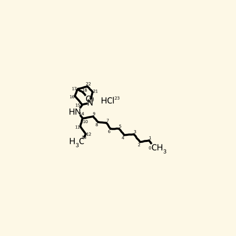 CCCCCCCCCCC(CCC)NC1CC2CCN1CC2.Cl